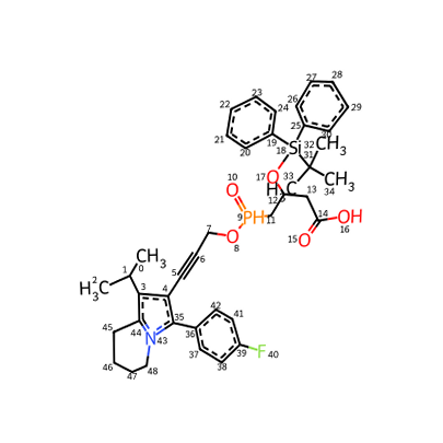 CC(C)c1c(C#CCO[PH](=O)CC(CC(=O)O)O[Si](c2ccccc2)(c2ccccc2)C(C)(C)C)c(-c2ccc(F)cc2)n2c1CCCC2